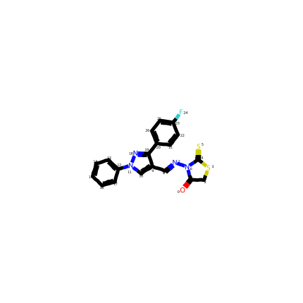 O=C1CSC(=S)N1/N=C/c1cn(-c2ccccc2)nc1-c1ccc(F)cc1